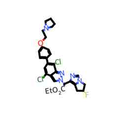 CCOC(=O)C(c1ncn2c1C[C@@H](F)C2)n1cc2c(Cl)cc(-c3ccc(OCCN4CCCC4)cc3)c(Cl)c2n1